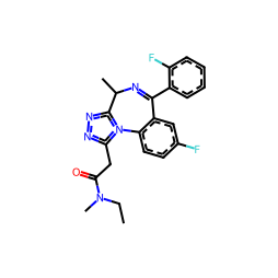 CCN(C)C(=O)Cc1nnc2n1-c1ccc(F)cc1C(c1ccccc1F)=NC2C